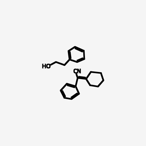 N#CC(=C1CCCCC1)c1ccccc1.OCCc1ccccc1